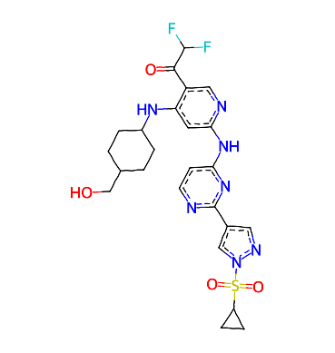 O=C(c1cnc(Nc2ccnc(-c3cnn(S(=O)(=O)C4CC4)c3)n2)cc1NC1CCC(CO)CC1)C(F)F